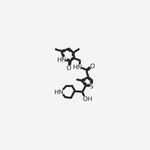 Cc1cc(C)c(CNC(=O)c2csc(C(O)C3CCNCC3)c2C)c(=O)[nH]1